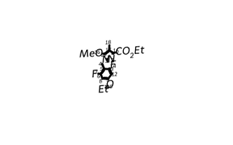 CCOC(=O)c1nn(Cc2c(F)cc(OCC)cc2F)c(OC)c1C